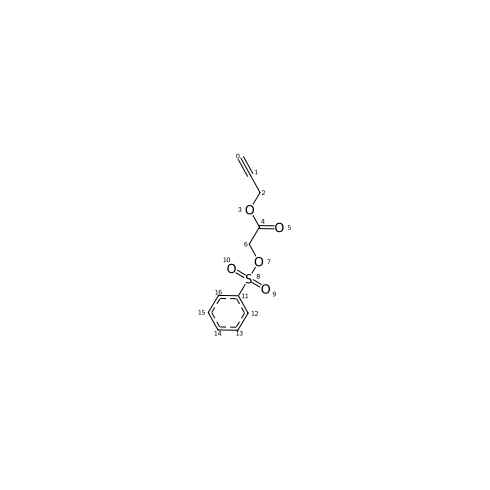 C#CCOC(=O)COS(=O)(=O)c1ccccc1